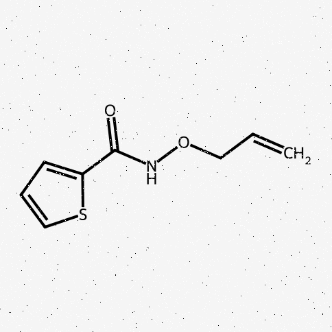 C=CCONC(=O)c1cccs1